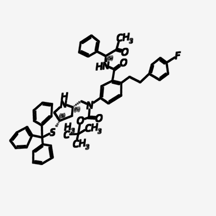 CC(=O)[C@@H](NC(=O)c1cc(N(C[C@@H]2C[C@H](SC(c3ccccc3)(c3ccccc3)c3ccccc3)CN2)C(=O)OC(C)(C)C)ccc1CCc1ccc(F)cc1)c1ccccc1